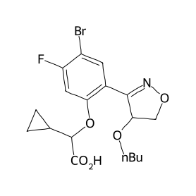 CCCCOC1CON=C1c1cc(Br)c(F)cc1OC(C(=O)O)C1CC1